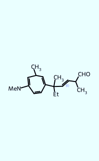 CCC(C)(/C=C/C(C)C=O)C1=CC(C)C=C(NC)C=C1